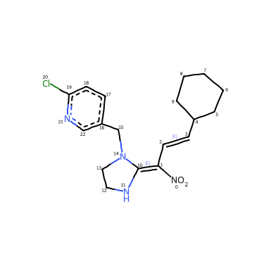 O=[N+]([O-])C(/C=C/C1CCCCC1)=C1\NCCN1Cc1ccc(Cl)nc1